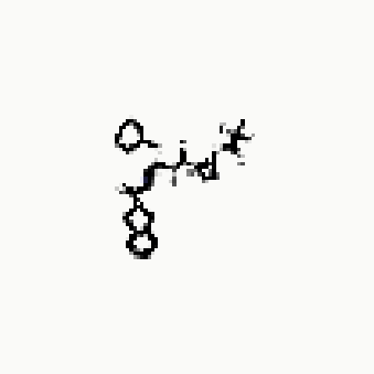 O=C(N[C@H](/C=C/C(=O)N1Cc2ccccc2C1)CC1CCCCC1)[C@@H]1CCN1OC(=O)C(F)(F)F